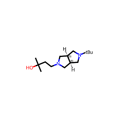 CC(C)(O)CCN1C[C@@H]2CN(C(C)(C)C)C[C@@H]2C1